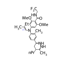 CCCC(CC(=N)c1ccc(N(/C=C(/C)CC)c2cc(OC)c(C(=O)NCC(F)(F)F)c(OC)c2)c(C)c1)C(C)=N